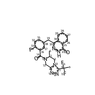 CC1Cn2c(nnc2C(C)(F)F)CN1C(=O)c1cc(Cc2n[nH]c(=O)c3ccccc23)ccc1F